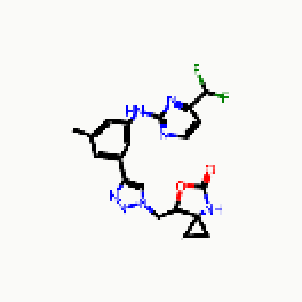 Cc1cc(Nc2nccc(C(F)F)n2)cc(-c2cn(CC3OC(=O)NC34CC4)nn2)c1